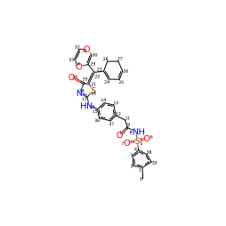 Cc1ccc(S(=O)(=O)NC(=O)Cc2ccc(NC3=NC(=O)C(=C(C4=CC=CCC4)C4=COC=CO4)S3)cc2)cc1